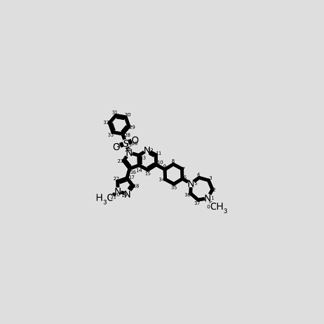 CN1CCCN(C2CCC(c3cnc4c(c3)c(-c3cnn(C)c3)cn4S(=O)(=O)c3ccccc3)CC2)CC1